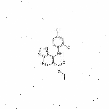 CCOC(=O)c1cnc2ccnn2c1Nc1ccc(Cl)cc1Cl